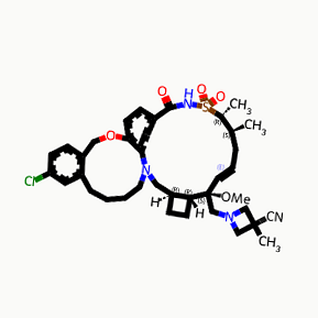 CO[C@]1(CN2CC(C)(C#N)C2)/C=C/C[C@H](C)[C@@H](C)S(=O)(=O)NC(=O)c2ccc3c(c2)N(CCCCc2cc(Cl)ccc2CO3)C[C@@H]2CC[C@H]21